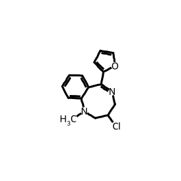 CN1CC(Cl)CN=C(c2ccco2)c2ccccc21